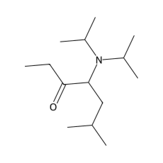 CCC(=O)C(CC(C)C)N(C(C)C)C(C)C